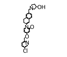 O=c1cc(OCc2ccc(Cl)cn2)ccn1C1=Cc2ccc(CN3CC[C@@H](O)C3)cc2CC1